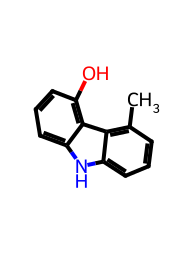 Cc1cccc2[nH]c3cccc(O)c3c12